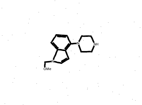 COCn1ccc2c(N3CCNCC3)cccc21